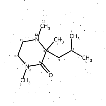 CC(C)CC1(C)C(=O)N(C)CCN1C